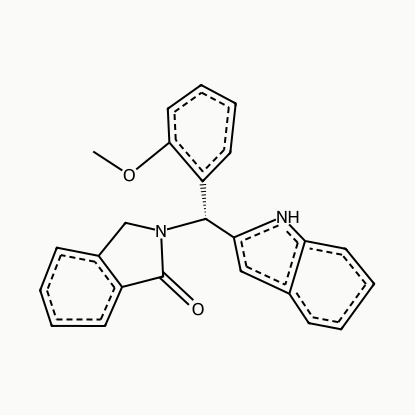 COc1ccccc1[C@H](c1cc2ccccc2[nH]1)N1Cc2ccccc2C1=O